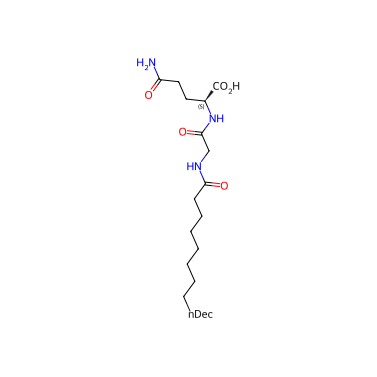 CCCCCCCCCCCCCCCCCC(=O)NCC(=O)N[C@@H](CCC(N)=O)C(=O)O